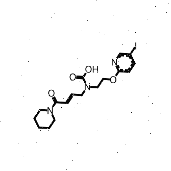 O=C(O)N(CC=CC(=O)N1CCCCC1)CCOc1ccc(I)cn1